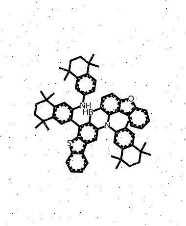 Cc1cc2c(cc1N1c3cc4c(sc5ccccc54)c(-c4cc5c(cc4Nc4ccc6c(c4)C(C)(C)CCC6(C)C)C(C)(C)CCC5(C)C)c3Bc3ccc4oc5ccccc5c4c31)C(C)(C)CCC2(C)C